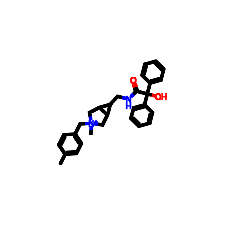 Cc1ccc(C[N+]2(C)CC3C(CNC(=O)C(O)(c4ccccc4)c4ccccc4)C3C2)cc1